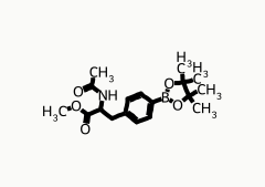 COC(=O)C(Cc1ccc(B2OC(C)(C)C(C)(C)O2)cc1)NC(C)=O